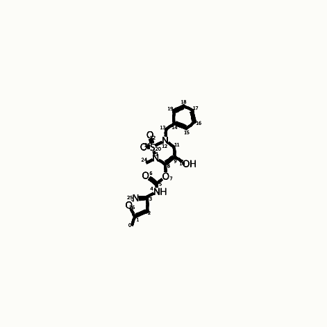 Cc1cc(NC(=O)OC2=C(O)CN(Cc3ccccc3)S(=O)(=O)N2C)no1